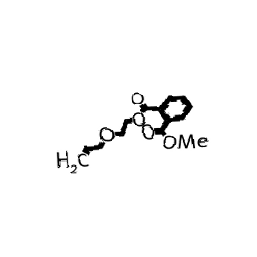 C=CCOCCOC(=O)c1ccccc1C(=O)OC